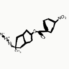 CC1(N=[N+]=[N-])CC2CC(OC(=O)c3ccc([N+](=O)[O-])cc3)CC2C1